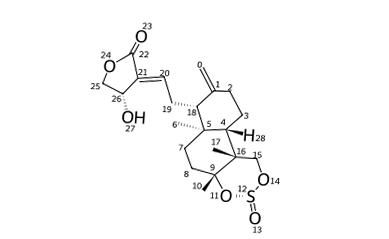 C=C1CC[C@H]2[C@@](C)(CC[C@@]3(C)O[S@@](=O)OC[C@@]23C)[C@@H]1C/C=C1/C(=O)OC[C@H]1O